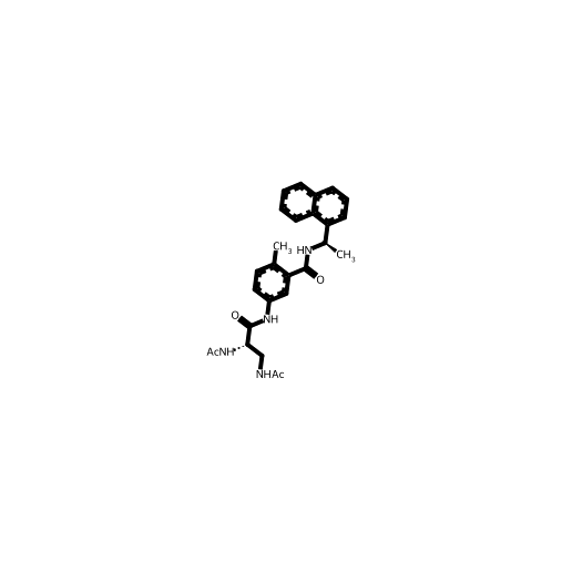 CC(=O)NC[C@H](NC(C)=O)C(=O)Nc1ccc(C)c(C(=O)N[C@H](C)c2cccc3ccccc23)c1